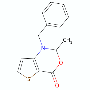 CC1OC(=O)c2sccc2N1Cc1ccccc1